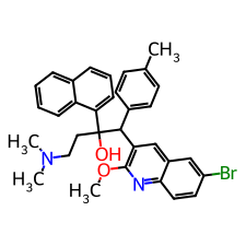 COc1nc2ccc(Br)cc2cc1C(c1ccc(C)cc1)C(O)(CCN(C)C)c1cccc2ccccc12